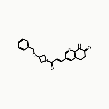 O=C1CCc2cc(C=CC(=O)N3CC(OCc4ccccc4)C3)cnc2N1